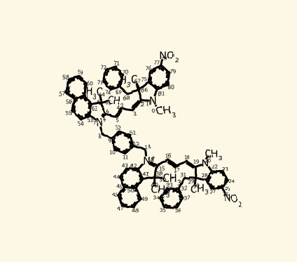 CN1/C(=C/C=C/C2=[N+](Cc3ccc(C[N+]4=C(/C=C/C=C5/N(C)c6ccc([N+](=O)[O-])cc6C5(C)Cc5ccccc5)C(C)(C)c5c4ccc4ccccc54)cc3)c3ccc4ccccc4c3C2(C)C)C(C)(Cc2ccccc2)c2cc([N+](=O)[O-])ccc21